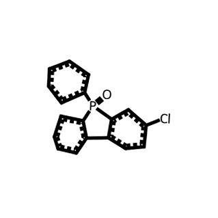 O=P1(c2ccccc2)c2ccccc2-c2ccc(Cl)cc21